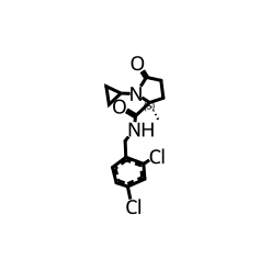 C[C@@]1(C(=O)NCc2ccc(Cl)cc2Cl)CCC(=O)N1C1CC1